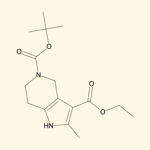 CCOC(=O)c1c(C)[nH]c2c1CN(C(=O)OC(C)(C)C)CC2